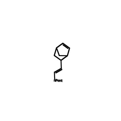 CCCCCC=CC1CC2C=CC1C2